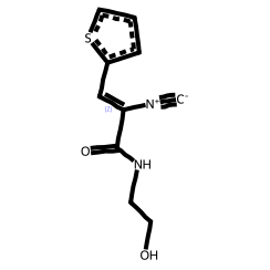 [C-]#[N+]/C(=C\c1cccs1)C(=O)NCCO